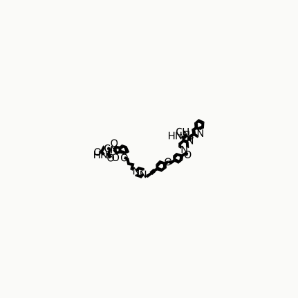 CNc1nc(-c2cnc3ccccc3c2)nc2c1CCN(C(=O)c1ccc(COc3ccc(C#CCN4CCN(CCCCOc5cccc6c5C(=O)N(C5CCC(=O)NC5=O)C6=O)CC4)cc3)cc1)C2